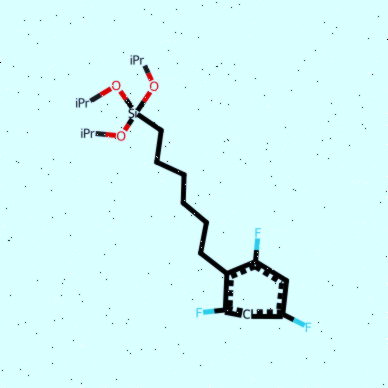 CC(C)O[Si](CCCCCCc1c(F)cc(F)cc1F)(OC(C)C)OC(C)C